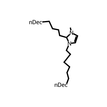 CCCCCCCCCCCCCCCCN1C=CN(C)C1CCCCCCCCCCCCCC